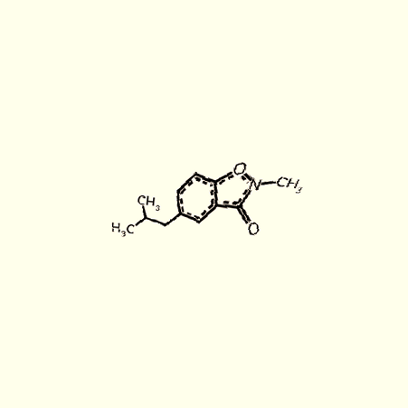 CC(C)Cc1ccc2on(C)c(=O)c2c1